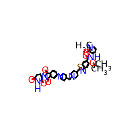 CC(C)Oc1cc2nc(C3CCN(CC4CCN(c5ccc6c(c5)C(=O)N(C5CCC(=O)NC5=O)C6=O)CC4)CC3)sc2cc1C(=O)Nc1cccn(C)c1=O